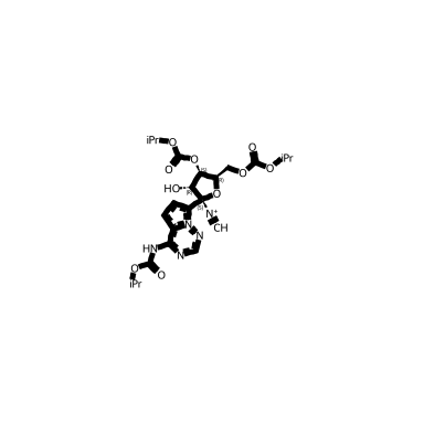 C#[N+][C@@]1(c2ccc3c(NC(=O)OC(C)C)ncnn23)O[C@H](COC(=O)OC(C)C)[C@@H](OC(=O)OC(C)C)[C@H]1O